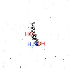 CCCCCCCC(O)c1ccc(CCC(C)(N)CO)cc1